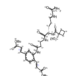 CCOC(=O)C1(C(=O)N[C@@H](CCCNC(N)=O)C(=O)NCCC(=O)Nc2cc(/C=C/C(=O)OCC(C)C)ccc2/C=C/C(=O)OCC(C)C)CCC1